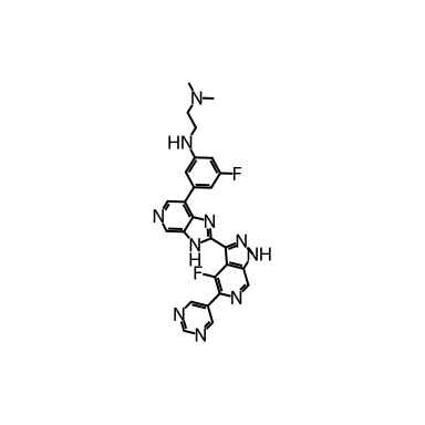 CN(C)CCNc1cc(F)cc(-c2cncc3[nH]c(-c4n[nH]c5cnc(-c6cncnc6)c(F)c45)nc23)c1